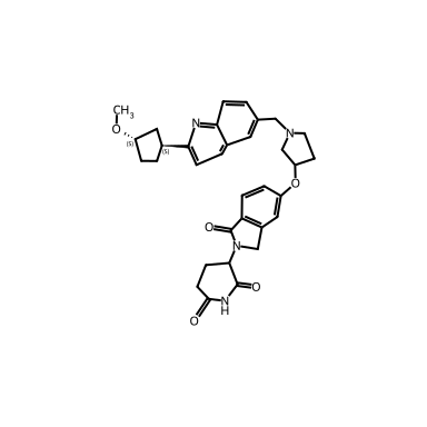 CO[C@H]1CC[C@H](c2ccc3cc(CN4CCC(Oc5ccc6c(c5)CN(C5CCC(=O)NC5=O)C6=O)C4)ccc3n2)C1